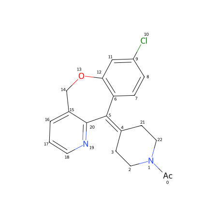 CC(=O)N1CCC(=C2c3ccc(Cl)cc3OCc3cccnc32)CC1